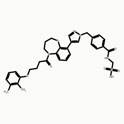 Cc1cccc(OCCCC(=O)N2CCCOc3c(-c4cnn(Cc5ccc(C(=O)NCS(=O)(=O)O)cc5)c4)cccc32)c1C